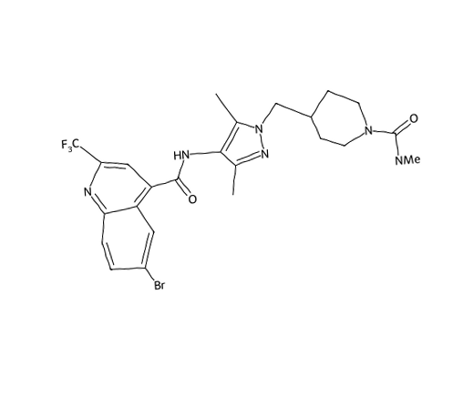 CNC(=O)N1CCC(Cn2nc(C)c(NC(=O)c3cc(C(F)(F)F)nc4ccc(Br)cc34)c2C)CC1